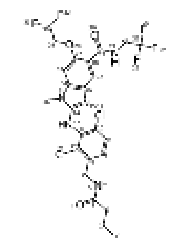 CCCC(=O)NCc1ccc(Cl)c(Nc2nc3cc(C(=O)NCC(F)(F)F)c(OCC(F)F)cc3n2C)c1Cl